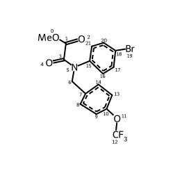 COC(=O)C(=O)N(Cc1ccc(OC(F)(F)F)cc1)c1ccc(Br)cc1